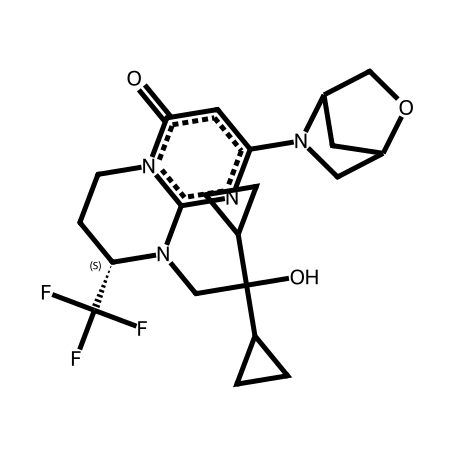 O=c1cc(N2CC3CC2CO3)nc2n1CC[C@@H](C(F)(F)F)N2CC(O)(C1CC1)C1CC1